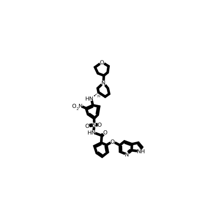 O=C(NS(=O)(=O)c1ccc(N[C@H]2CCCN(C3CCOCC3)C2)c([N+](=O)[O-])c1)c1ccccc1Oc1cnc2[nH]ccc2c1